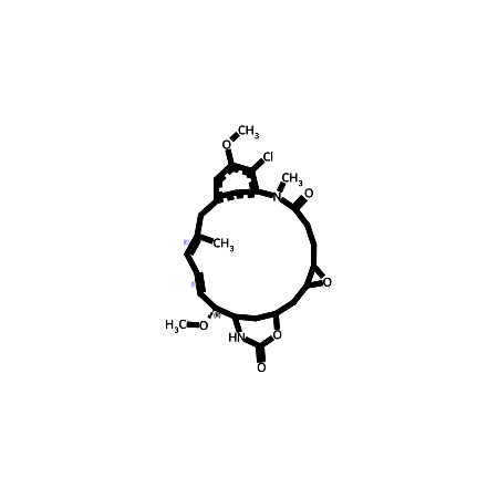 COc1cc2cc(c1Cl)N(C)C(=O)CCC1OC1CC1CC(NC(=O)O1)[C@H](OC)/C=C/C=C(\C)C2